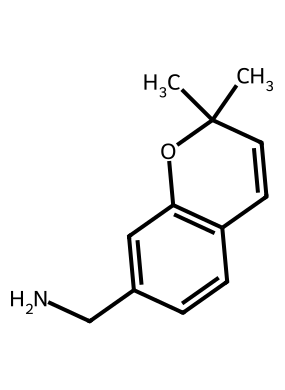 CC1(C)C=Cc2ccc(CN)cc2O1